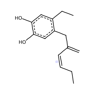 C=C(/C=C\CC)Cc1cc(O)c(O)cc1CC